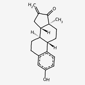 C=C1C[C@H]2[C@@H]3CCc4cc(O)ccc4[C@H]3CC[C@]2(C)C1=O